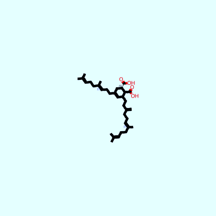 C=C(CC/C=C(\C)CCC=C(C)C)CCC1C=C(CC/C=C(\C)CCC=C(C)C)C[C@H](C(=O)O)C1C(=O)O